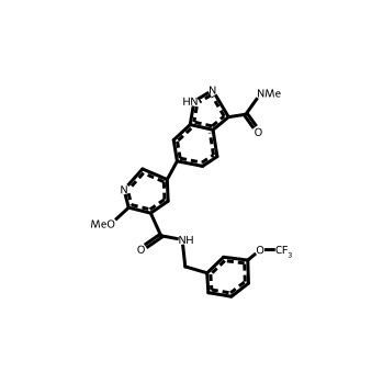 CNC(=O)c1n[nH]c2cc(-c3cnc(OC)c(C(=O)NCc4cccc(OC(F)(F)F)c4)c3)ccc12